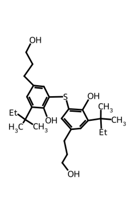 CCC(C)(C)c1cc(CCCO)cc(Sc2cc(CCCO)cc(C(C)(C)CC)c2O)c1O